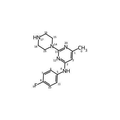 Cc1cc(Nc2ccc(F)cc2)nc(N2CCNCC2)n1